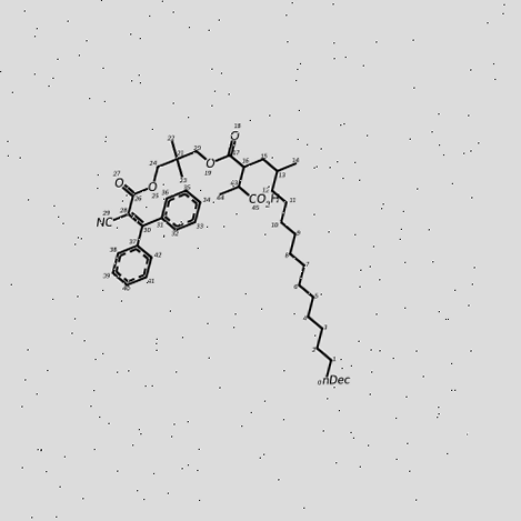 CCCCCCCCCCCCCCCCCCCCCCC(C)CC(C(=O)OCC(C)(C)COC(=O)C(C#N)=C(c1ccccc1)c1ccccc1)C(C)C(=O)O